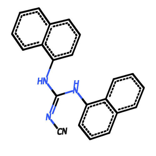 N#CN=C(Nc1cccc2ccccc12)Nc1cccc2ccccc12